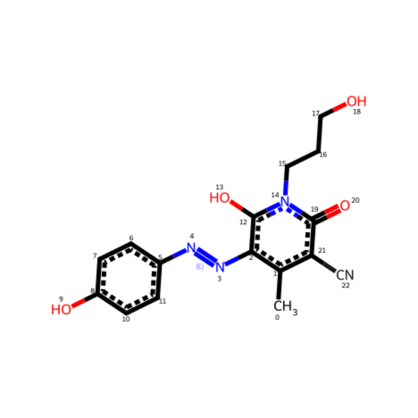 Cc1c(/N=N/c2ccc(O)cc2)c(O)n(CCCO)c(=O)c1C#N